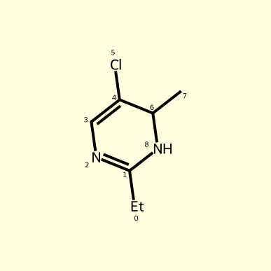 CCC1=NC=C(Cl)C(C)N1